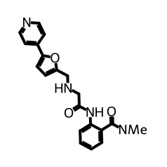 CNC(=O)c1ccccc1NC(=O)CNCc1ccc(-c2ccncc2)o1